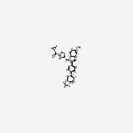 O=C(C1CC1)N1CC[C@@H](Cn2c(-c3ccc(-c4ccc5ncoc5c4)cc3)nc3cc(C(F)(F)F)ccc32)C1